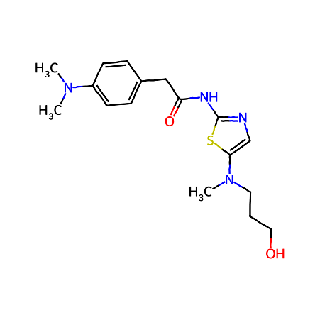 CN(C)c1ccc(CC(=O)Nc2ncc(N(C)CCCO)s2)cc1